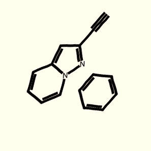 C#Cc1cc2ccccn2n1.c1ccccc1